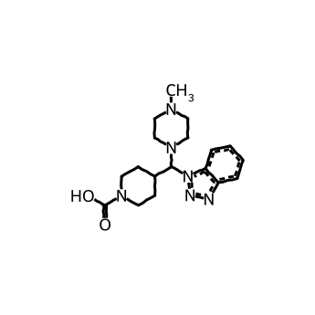 CN1CCN(C(C2CCN(C(=O)O)CC2)n2nnc3ccccc32)CC1